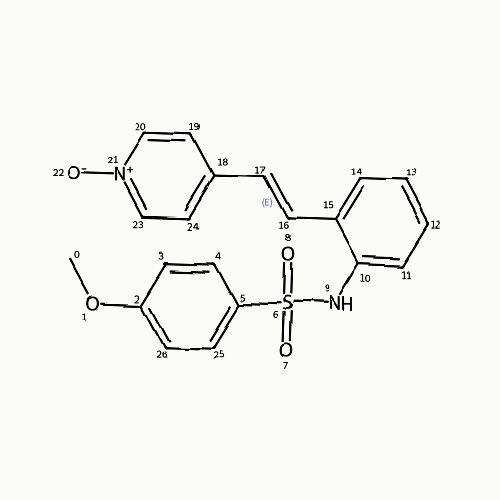 COc1ccc(S(=O)(=O)Nc2ccccc2/C=C/c2cc[n+]([O-])cc2)cc1